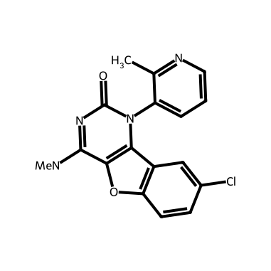 CNc1nc(=O)n(-c2cccnc2C)c2c1oc1ccc(Cl)cc12